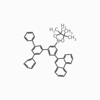 CC1(C)OB(c2cc(-c3cc(-c4ccccc4)cc(-c4ccccc4)c3)cc(-c3cc4ccccc4c4ccccc34)c2)OC1(C)C